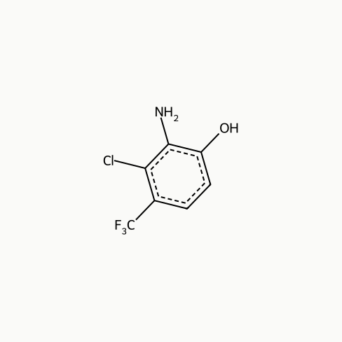 Nc1c(O)ccc(C(F)(F)F)c1Cl